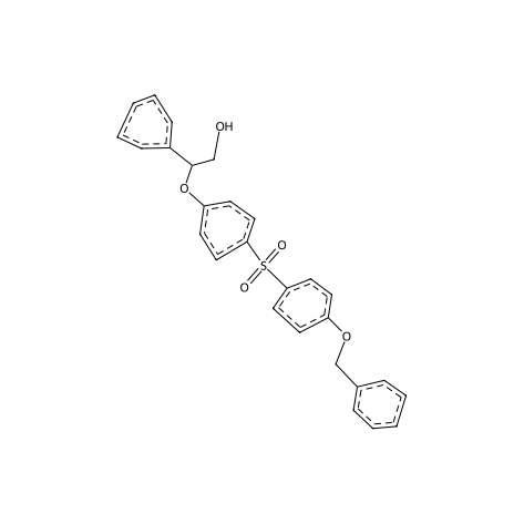 O=S(=O)(c1ccc(OCc2ccccc2)cc1)c1ccc(OC(CO)c2ccccc2)cc1